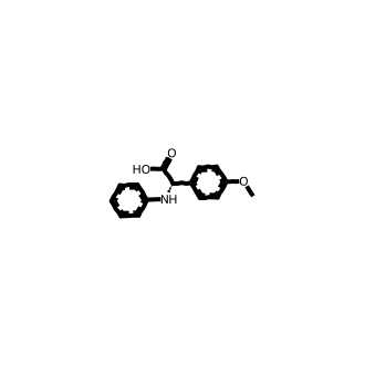 COc1ccc([C@H](Nc2ccccc2)C(=O)O)cc1